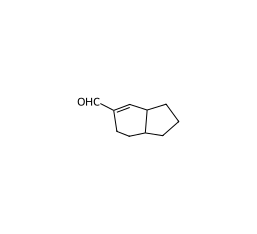 O=CC1=CC2CCCC2CC1